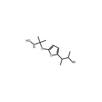 CC(C)C(C)C(C)c1ccc(OC(C)(C)BO)o1